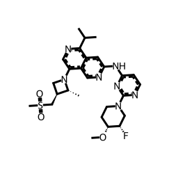 CO[C@@H]1CCN(c2nccc(Nc3cc4c(C(C)C)ncc(N5C[C@H](CS(C)(=O)=O)[C@H]5C)c4cn3)n2)C[C@@H]1F